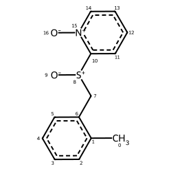 Cc1ccccc1C[S+]([O-])c1cccc[n+]1[O-]